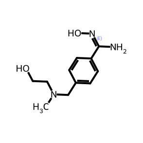 CN(CCO)Cc1ccc(/C(N)=N\O)cc1